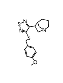 COc1ccc(CSc2nsnc2C2CN3CCCC2C3)cc1